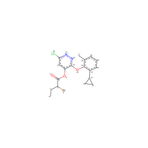 CCC(Br)C(=O)Oc1cc(Cl)nnc1Oc1c(C)cccc1C1CC1